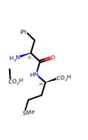 CC(=O)O.CSCC[C@@H](NC(=O)[C@@H](N)CC(C)C)C(=O)O